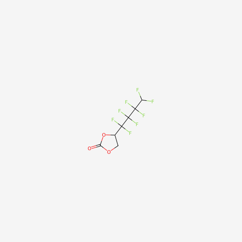 O=C1OCC(C(F)(F)C(F)(F)C(F)(F)C(F)F)O1